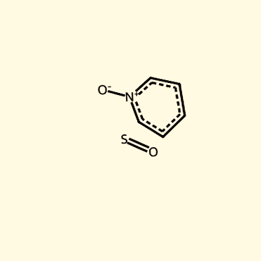 O=S.[O-][n+]1ccccc1